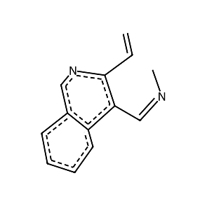 C=Cc1ncc2ccccc2c1/C=N\C